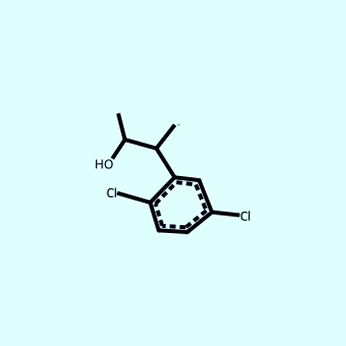 [CH2]C(c1cc(Cl)ccc1Cl)C(C)O